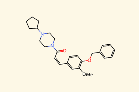 COc1cc(/C=C\C(=O)N2CCN(C3CCCC3)CC2)ccc1OCc1ccccc1